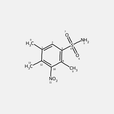 Cc1cc(S(N)(=O)=O)c(C)c([N+](=O)[O-])c1C